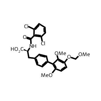 COCOc1ccc(OC)c(-c2ccc(C[C@H](NC(=O)c3c(Cl)cccc3Cl)C(=O)O)cc2)c1OC